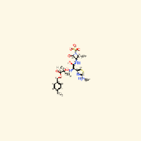 CC(C)[C@H]1[C@@H](NC(=O)C(=NOC(C)(C)C(=O)OCc2ccc([N+](=O)[O-])cc2)c2csc(N)n2)C(=O)N1S(=O)(=O)[O-].[Na+]